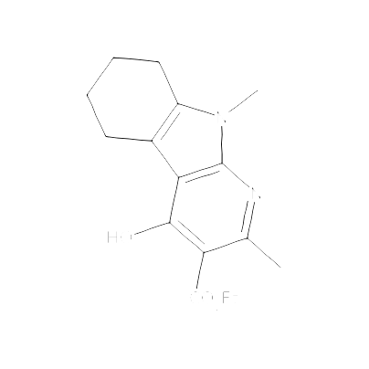 CCOC(=O)c1c(C)nc2c(c1O)c1c(n2C)CCCC1